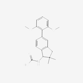 COc1cccc(OC)c1-c1ccc2c(c1)CC(C)(C)C2NC(=O)O